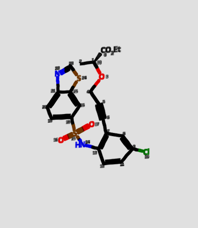 CCOC(=O)[C@H](C)OCC#Cc1cc(Cl)ccc1NS(=O)(=O)c1ccc2ncsc2c1